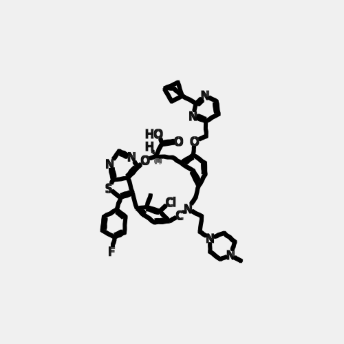 Cc1c2ccc(c1Cl)CN(CCN1CCN(C)CC1)Cc1ccc(OCc3ccnc(C45CC(C4)C5)n3)c(c1)C[C@H](C(=O)O)Oc1ncnc3sc(-c4ccc(F)cc4)c-2c13